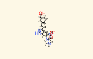 CN1CCN(c2cc3[nH]nc(C=Cc4cccc(CO)c4)c3cc2[N+](=O)[O-])CC1